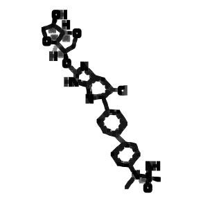 CN(c1ccc(-c2ccc(-c3nc4[nH]c(O[C@@H]5CO[C@H]6[C@@H]5OC[C@H]6O)nc4cc3Cl)cc2)cc1)[S@](C)(=N)=O